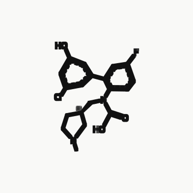 CN1CC[C@@H](CN(C(=O)O)c2ccc(F)cc2-c2cc(O)cc(Cl)c2)C1